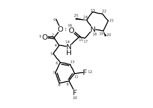 COC(=O)C(Cc1ccc(F)c(F)c1)NC(=O)CN1[C@H](C)CCC[C@@H]1C